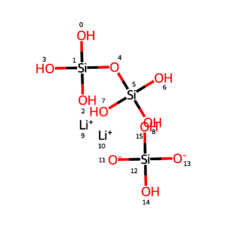 O[Si](O)(O)O[Si](O)(O)O.[Li+].[Li+].[O-][Si]([O-])(O)O